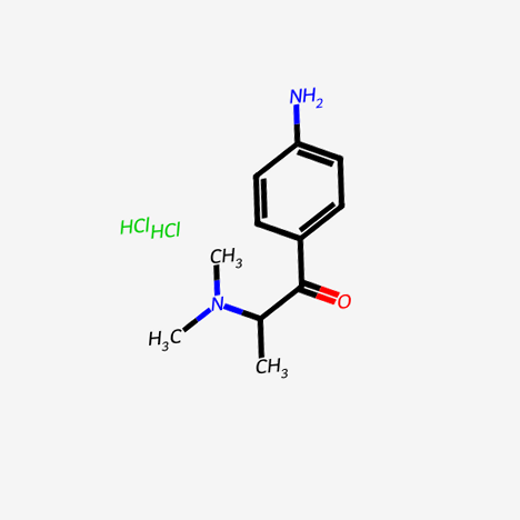 CC(C(=O)c1ccc(N)cc1)N(C)C.Cl.Cl